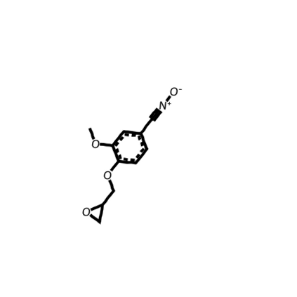 COc1cc(C#[N+][O-])ccc1OCC1CO1